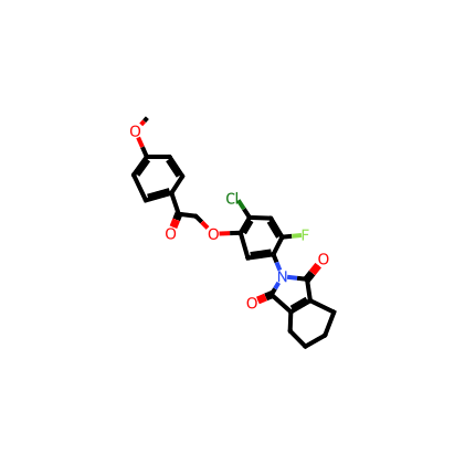 COc1ccc(C(=O)COc2cc(N3C(=O)C4=C(CCCC4)C3=O)c(F)cc2Cl)cc1